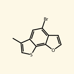 Cc1csc2c1cc(Br)c1ccoc12